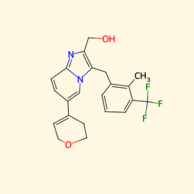 Cc1c(Cc2c(CO)nc3ccc(C4=CCOCC4)cn23)cccc1C(F)(F)F